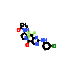 CC(=O)NC1CCN(C(=O)c2cnc(Nc3cccc(Cl)c3)nc2C(F)(F)F)C1